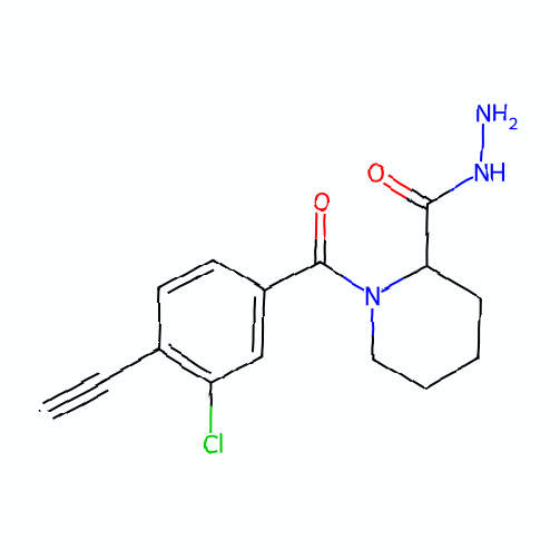 [C]#Cc1ccc(C(=O)N2CCCCC2C(=O)NN)cc1Cl